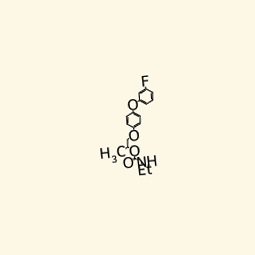 CCNC(=O)OC(C)COc1ccc(Oc2cccc(F)c2)cc1